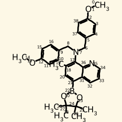 COc1ccc(CN(Cc2ccc(OC)cc2)c2c(C)cc(B3OC(C)(C)C(C)(C)O3)c3cccnc23)cc1